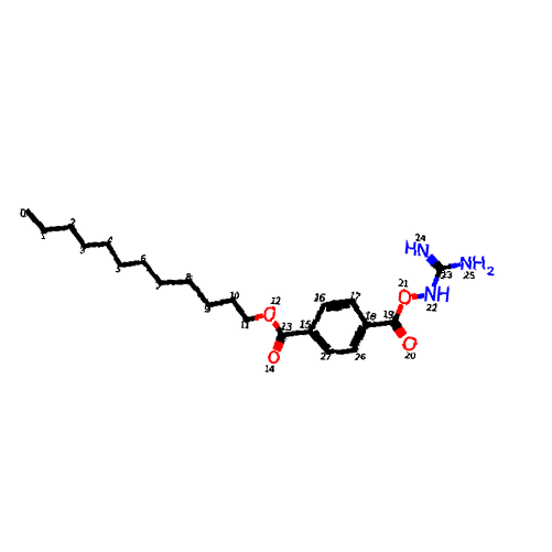 CCCCCCCCCCCCOC(=O)c1ccc(C(=O)ONC(=N)N)cc1